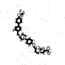 O=[N+]([O-])c1cn2c(n1)OC(COc1ccc(N3CCN(Cc4ccc(-c5ccc(OC(F)(F)F)cc5)cc4F)CC3)cc1)CC2